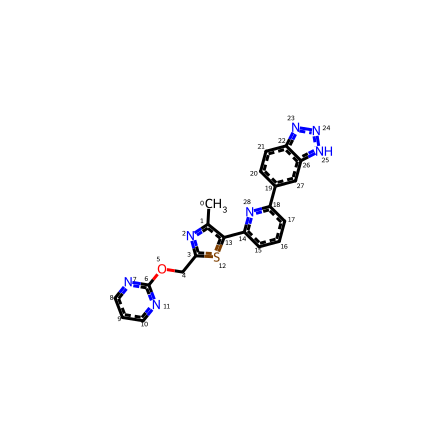 Cc1nc(COc2ncccn2)sc1-c1cccc(-c2ccc3nn[nH]c3c2)n1